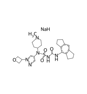 CN1CCC(N(c2cnn(C3COC3)c2)S(=O)(=O)NC(=O)Nc2c3c(cc4c2CCC4)CCC3)CC1.[NaH]